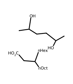 CC(O)CCC(C)O.CCCCCCCCC(CCCCCC)CC(=O)O